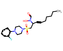 CCCCCC#CC(CS(=O)(=O)N1CCN(c2ccccc2F)CC1)N(O)C=O